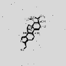 CO[C@@H]1[C@](O)(C(C)C)[C@H](Cl)C=C2[C@@]13CC(O3)[C@H]1c3coc(CO)c3CC[C@]21C